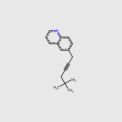 CC(C)(C)CC#CCc1ccc2ncccc2c1